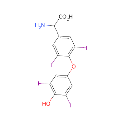 NC(C(=O)O)c1cc(I)c(Oc2cc(I)c(O)c(I)c2)c(I)c1